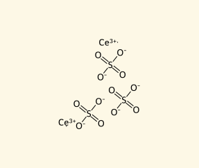 O=S(=O)([O-])[O-].O=S(=O)([O-])[O-].O=S(=O)([O-])[O-].[Ce+3].[Ce+3]